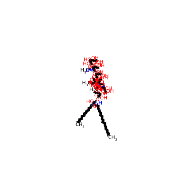 CCCCCCCCCCCCC/C=C/[C@@H](O)[C@H](CO[C@@H]1OC(CO)[C@@H](O[C@@H]2OC(CO)[C@H](O)[C@H](O[C@@H]3OC(CO)[C@@H](O[C@@H]4OC(CO)[C@H](O)[C@H](O[C@H]5OC(CO)[C@H](O)[C@H](O[C@@H]6OC(CO)[C@H](O)[C@H](O)C6O)C5NC(C)=O)C4O[C@H]4OC(C)[C@@H](O)C(O)[C@@H]4O)[C@H](O)C3NC(C)=O)C2O)[C@H](O)C1O)NC(=O)CCCCCCCCCCCCCCCCCCC